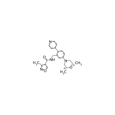 Cc1nocc1C(=O)NCc1cc(N2C[C@@H](C)O[C@@H](C)C2)ccc1-c1ccncc1